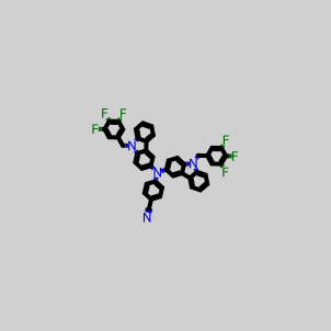 N#Cc1ccc(N(c2ccc3c(c2)c2ccccc2n3Cc2cc(F)c(F)c(F)c2)c2ccc3c(c2)c2ccccc2n3Cc2cc(F)c(F)c(F)c2)cc1